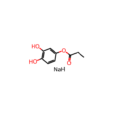 CCC(=O)Oc1ccc(O)c(O)c1.[NaH]